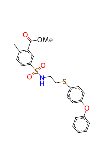 COC(=O)c1cc(S(=O)(=O)NCCSc2ccc(Oc3ccccc3)cc2)ccc1C